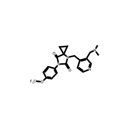 CN(C)Cc1cnccc1CN1C(=O)N(c2ccc(OC(F)(F)F)cc2)C(=O)C12CC2